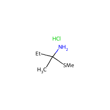 CCC(C)(N)SC.Cl